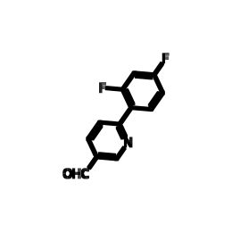 O=Cc1ccc(-c2ccc(F)cc2F)nc1